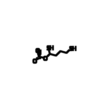 O=[SH](=O)OC(S)CCCS